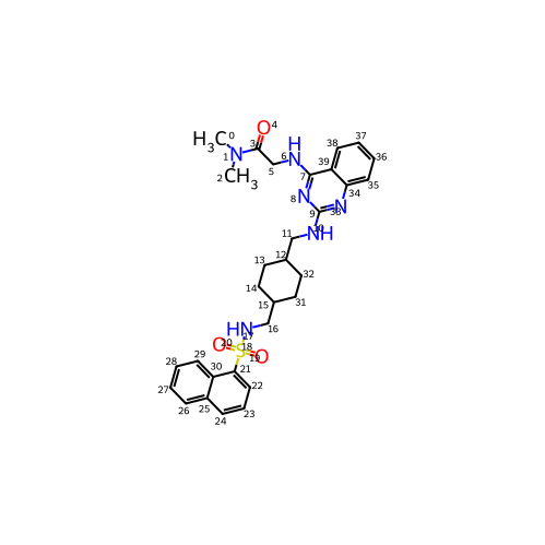 CN(C)C(=O)CNc1nc(NCC2CCC(CNS(=O)(=O)c3cccc4ccccc34)CC2)nc2ccccc12